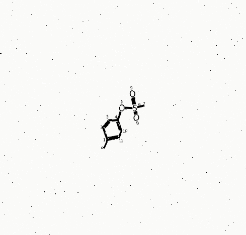 Cc1[c]cc(OS(C)(=O)=O)cc1